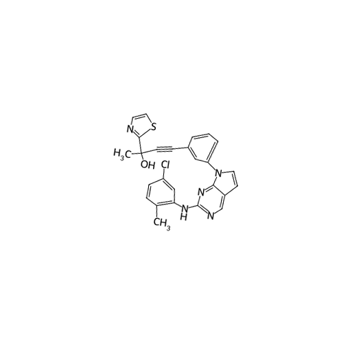 Cc1ccc(Cl)cc1Nc1ncc2ccn(-c3cccc(C#CC(C)(O)c4nccs4)c3)c2n1